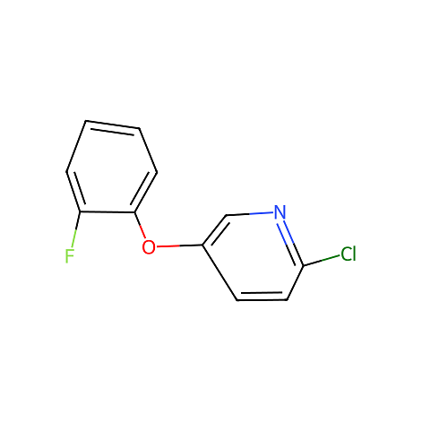 Fc1ccccc1Oc1ccc(Cl)nc1